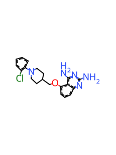 Nc1nc(N)c2c(OCC3CCN(c4ccccc4Cl)CC3)cccc2n1